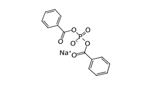 O=C(OP(=O)([O-])OC(=O)c1ccccc1)c1ccccc1.[Na+]